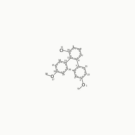 COc1ccc(-c2cccc(Cl)c2-c2ccc(OC)cc2)cc1